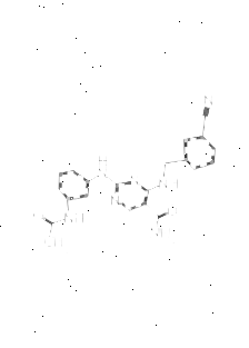 CC(=O)Nc1cccc(Nc2ncc(C(N)=O)c(NCc3cccc(C#N)c3)n2)c1